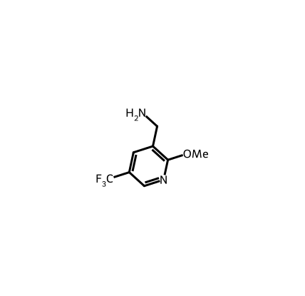 COc1ncc(C(F)(F)F)cc1CN